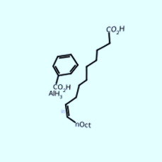 CCCCCCCC/C=C\CCCCCCCC(=O)O.O=C(O)c1ccccc1.[AlH3]